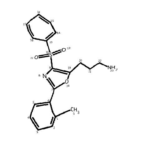 Cc1ccccc1-c1nc(S(=O)(=O)c2ccccc2)c(CCCN)o1